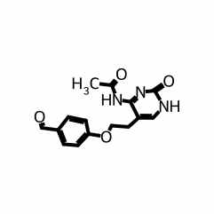 CC(=O)Nc1nc(=O)[nH]cc1CCOc1ccc(C=O)cc1